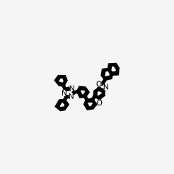 c1ccc(-c2nc(-c3ccccc3)nc(-c3cccc(-c4cccc5oc6cc7nc(-c8ccc9ccccc9c8)oc7cc6c45)c3)n2)cc1